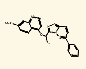 CCC(Oc1ccnc2cc(OC)ccc12)c1nnc2ccc(-c3ccccc3)nn12